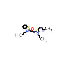 C/C=C\C=C/C1=CN(CCCC)/C(=C/C(=O)/C=C2\Sc3ccccc3N2CCCC)S1